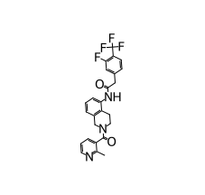 Cc1ncccc1C(=O)N1CCc2c(cccc2NC(=O)Cc2ccc(C(F)(F)F)c(F)c2)C1